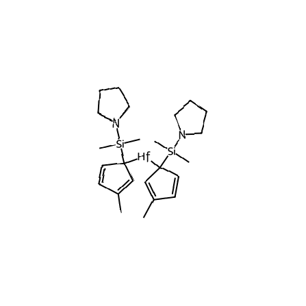 CC1=C[C]([Hf][C]2([Si](C)(C)N3CCCC3)C=CC(C)=C2)([Si](C)(C)N2CCCC2)C=C1